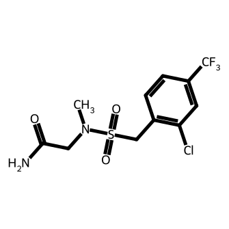 CN(CC(N)=O)S(=O)(=O)Cc1ccc(C(F)(F)F)cc1Cl